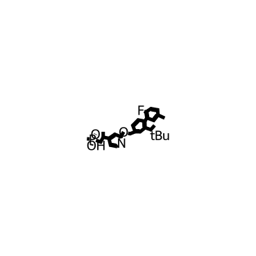 Cc1ccc(F)c(-c2ccc(COc3cc(C(C)CP(C)(=O)O)ccn3)cc2[C@@H](C)C(C)(C)C)c1